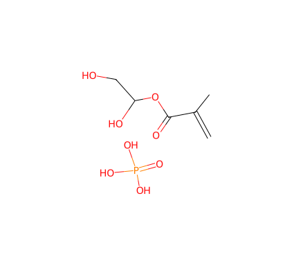 C=C(C)C(=O)OC(O)CO.O=P(O)(O)O